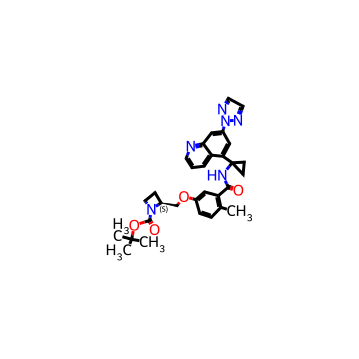 Cc1ccc(OC[C@@H]2CCN2C(=O)OC(C)(C)C)cc1C(=O)NC1(c2cc(-n3nccn3)cc3ncccc23)CC1